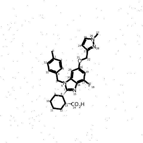 Cc1ccc(Cn2c([C@H]3CCCC[C@H]3C(=O)O)nc3c(F)cc(OCc4ccn(C)n4)cc32)cc1